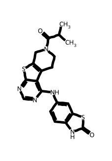 CC(C)C(=O)N1CCc2c(sc3ncnc(Nc4ccc5[nH]c(=O)sc5c4)c23)C1